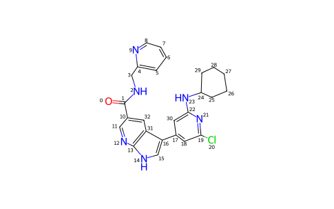 O=C(NCc1ccccn1)c1cnc2[nH]cc(-c3cc(Cl)nc(NC4CCCCC4)c3)c2c1